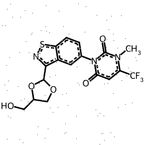 Cn1c(C(F)(F)F)cc(=O)n(-c2ccc3snc(C4OCC(CO)O4)c3c2)c1=O